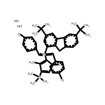 CC1=[C]([Zr](=[CH]c2ccc(Cl)cc2)(=[CH]c2ccc(Cl)cc2)[c]2cc(C(C)(C)C)cc3c2Cc2ccc(C(C)(C)C)cc2-3)C(C)C=C1[Si](C)(C)C.Cl.Cl